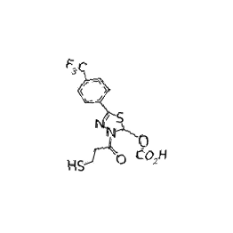 O=C(O)OC1SC(c2ccc(C(F)(F)F)cc2)=NN1C(=O)CCS